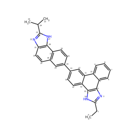 CCc1nc2c3ccccc3c3cc(-c4ccc5c(ccc6nc(C(C)C)[nH]c65)c4)ccc3c2[nH]1